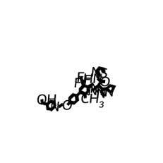 Cc1c(-c2ccc(OCCN3CCC(CO)CC3)cc2)cc(C(F)(F)F)c2cn(C(C(=O)Nc3nccs3)c3ncn4c3CCC4)nc12